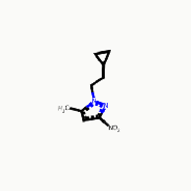 Cc1cc([N+](=O)[O-])nn1CCC1CC1